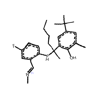 CCCCC(C)(Pc1ccc(F)cc1/C=N/C)c1cc(C(C)(C)C)cc(C)c1O